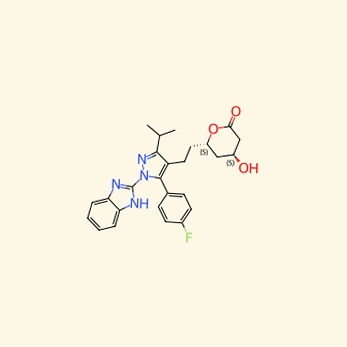 CC(C)c1nn(-c2nc3ccccc3[nH]2)c(-c2ccc(F)cc2)c1CC[C@H]1C[C@H](O)CC(=O)O1